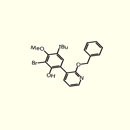 COc1c(C(C)(C)C)cc(-c2cccnc2OCc2ccccc2)c(O)c1Br